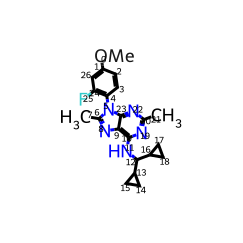 COc1ccc(-n2c(C)nc3c(NC(C4CC4)C4CC4)nc(C)nc32)c(F)c1